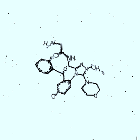 CN1N=C(CNC(=O)CN)N(c2ccc(Cl)cc2C(=O)c2ccccc2F)C1N1CCOCC1